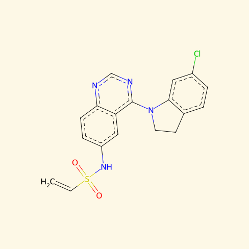 C=CS(=O)(=O)Nc1ccc2ncnc(N3CCc4ccc(Cl)cc43)c2c1